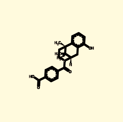 CC1(C)[C@H]2Cc3c(O)cccc3[C@]1(C)CCN2C(=O)c1ccc(C(=O)O)cc1